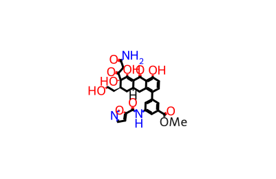 COC(=O)c1cc(NC(=O)c2ccno2)cc(-c2ccc(O)c3c2C[C@H]2C[C@@H](CCO)[C@@](O)(C(=O)CC(N)=O)C(O)=C2C3=O)c1